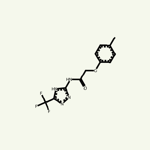 Cc1ccc(OCC(=O)Nc2nnc(C(F)(F)F)[nH]2)cc1